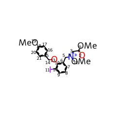 COC(=O)/C=[N+](/Cc1cccc(I)c1OCc1ccc(OC)cc1)OC